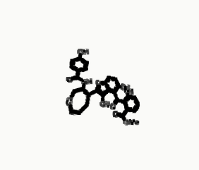 COC(=O)c1cccc(O)c1C(=O)c1c(O)ccc2oc(C3CCCOCC3NC(=O)c3ccc(O)cc3)c(O)c12